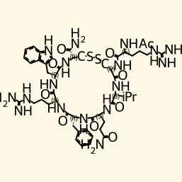 CC(=O)N[C@@H](CCCNC(=N)N)C(=O)N[C@H]1CSSC[C@@H](C(N)=O)NC(=O)[C@H](Cc2c[nH]c3ccccc23)NC(=O)[C@H](CCCNC(=N)N)NC(=O)[C@@H](Cc2ccccc2)NC(=O)[C@H](CCC(N)=O)NC(=O)[C@H](C(C)C)NC1=O